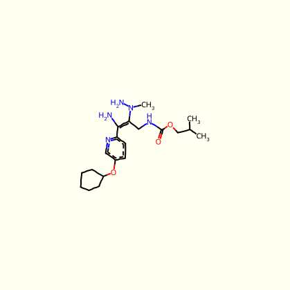 CC(C)COC(=O)NC/C(=C(/N)c1ccc(OC2CCCCC2)cn1)N(C)N